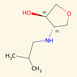 CC(C)CN[C@H]1COC[C@@H]1O